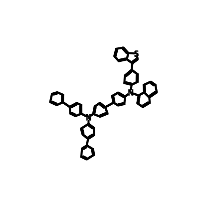 c1ccc(-c2ccc(N(c3ccc(-c4ccccc4)cc3)c3ccc(-c4ccc(N(c5ccc(-c6csc7ccccc67)cc5)c5cccc6ccccc56)cc4)cc3)cc2)cc1